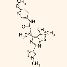 COc1ccc(NC(=O)CN(C)c2nc(-c3cn(C)cn3)nc3sc(C)c(C)c23)cn1